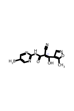 Bc1cnc(NC(=O)/C(C#N)=C(\O)c2cnoc2C)nc1